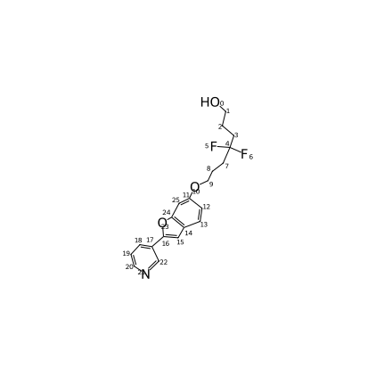 OCCCC(F)(F)CCCOc1ccc2cc(-c3cccnc3)oc2c1